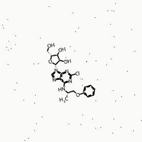 C[C@@H](COc1ccccc1)Nc1nc(Cl)nc2c1ncn2[C@@H]1O[C@H](CO)C(O)C1O